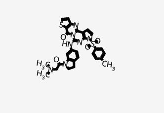 Cc1ccc(S(=O)(=O)n2ccc3c2nc(Nc2ccc4c(c2)N(C(=O)CN(C)C)CC4)n2c(=O)c4sccc4nc32)cc1